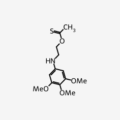 COc1cc(NCCOC(C)=S)cc(OC)c1OC